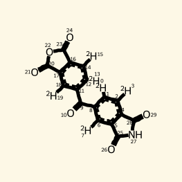 [2H]c1c([2H])c2c(c([2H])c1C(=O)c1c([2H])c([2H])c3c(c1[2H])C(=O)OC3=O)C(=O)NC2=O